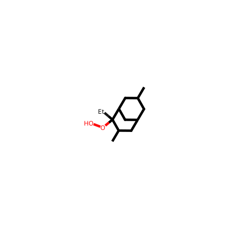 CCC1(OO)C(C)CC2CC(C)CC1C2